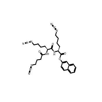 [N-]=[N+]=NCCCC[C@H](NC(=O)CCCN=[N+]=[N-])C(=O)N[C@@H](CCCCN=[N+]=[N-])C(=O)Oc1ccc2ccccc2c1